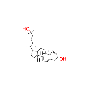 C[C@H](CCCC(C)(C)O)[C@H]1CC[C@H]2C3=CC=C4C[C@@H](O)C=C[C@]4(C)[C@H]3CC[C@]12C